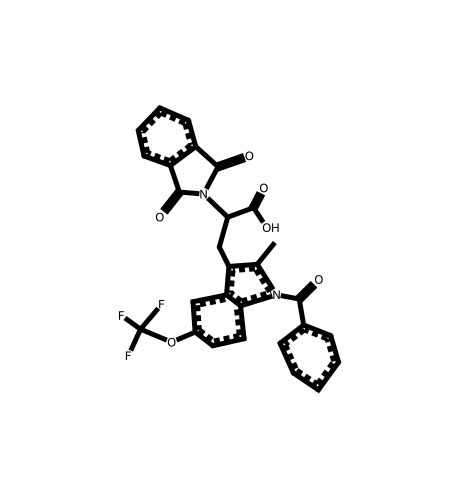 Cc1c(CC(C(=O)O)N2C(=O)c3ccccc3C2=O)c2cc(OC(F)(F)F)ccc2n1C(=O)c1ccccc1